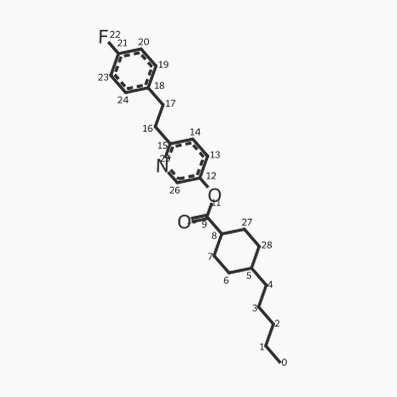 CCCCCC1CCC(C(=O)Oc2ccc(CCc3ccc(F)cc3)nc2)CC1